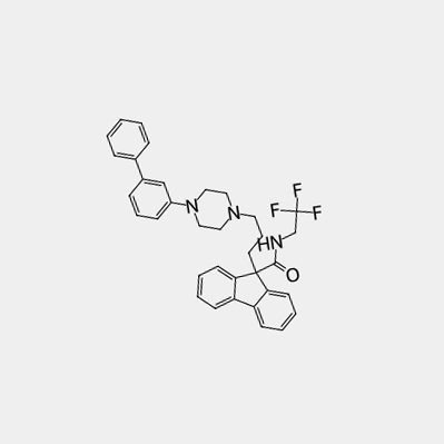 O=C(NCC(F)(F)F)C1(CCCN2CCN(c3cccc(-c4ccccc4)c3)CC2)c2ccccc2-c2ccccc21